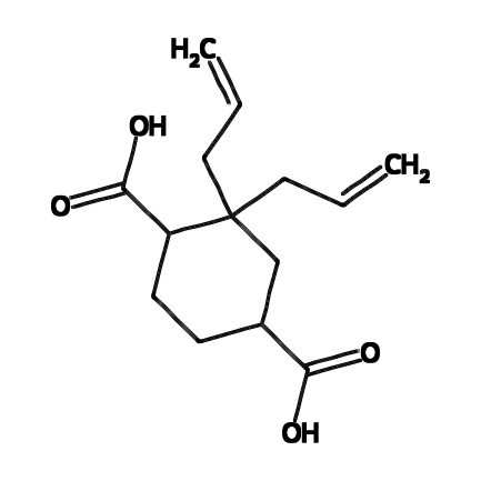 C=CCC1(CC=C)CC(C(=O)O)CCC1C(=O)O